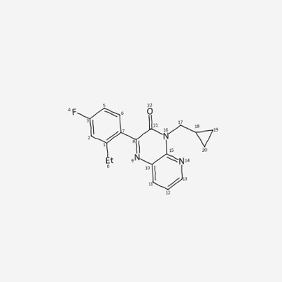 CCc1cc(F)ccc1-c1nc2cccnc2n(CC2CC2)c1=O